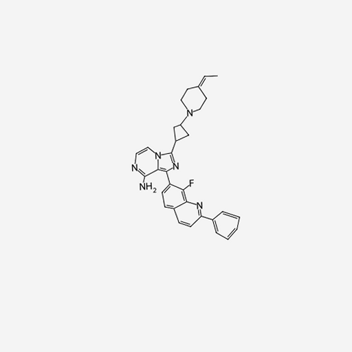 CC=C1CCN(C2CC(c3nc(-c4ccc5ccc(-c6ccccc6)nc5c4F)c4c(N)nccn34)C2)CC1